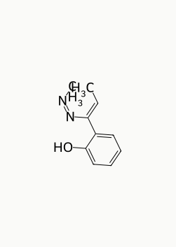 C/C=C(\N=N/C)c1ccccc1O